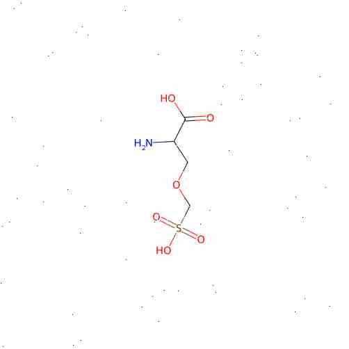 NC(COCS(=O)(=O)O)C(=O)O